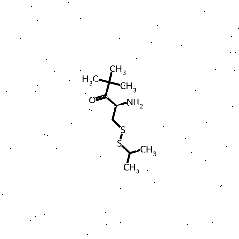 CC(C)SSC[C@H](N)C(=O)C(C)(C)C